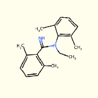 CCN(C(=N)c1c(C)cccc1C)c1c(C)cccc1C